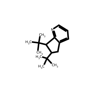 CC(C)(C)C1Cc2cccnc2C1C(C)(C)C